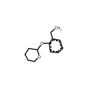 [CH2]Cc1ccccc1OC1CCCCO1